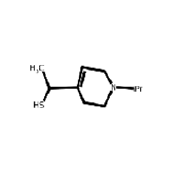 CC(S)C1=CCN(C(C)C)CC1